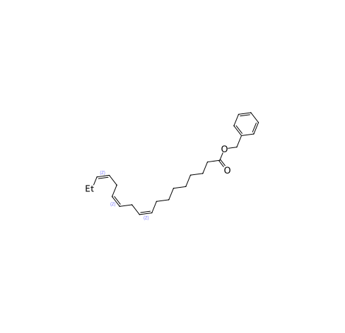 CC/C=C\C/C=C\C/C=C\CCCCCCCC(=O)OCc1ccccc1